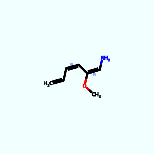 C=C/C=C\C(=C/N)OC